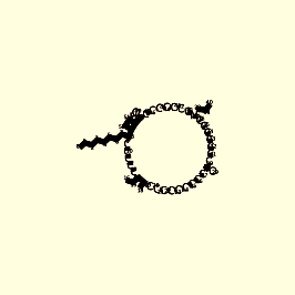 CCCCCCCCC1CCCCCC(CC)C(C)CCCCCCCCCC(=O)CCCCCCCN(CCC)CCCCCCCC(=O)[C@@H]2CCC12